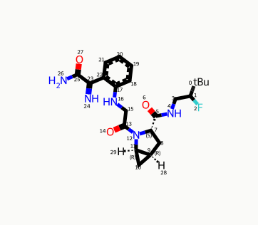 CC(C)(C)C(F)CNC(=O)[C@@H]1C[C@H]2C[C@H]2N1C(=O)CNc1ccccc1C(=N)C(N)=O